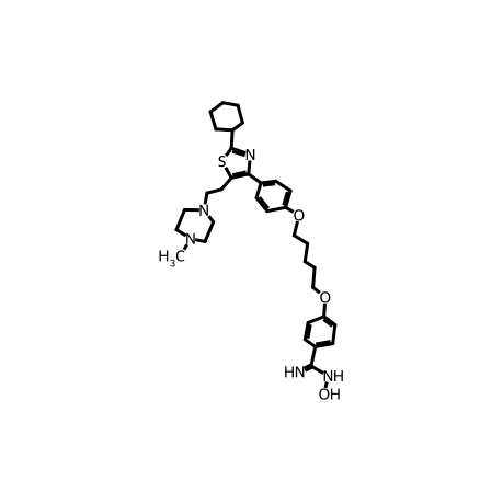 CN1CCN(CCc2sc(C3CCCCC3)nc2-c2ccc(OCCCCCOc3ccc(C(=N)NO)cc3)cc2)CC1